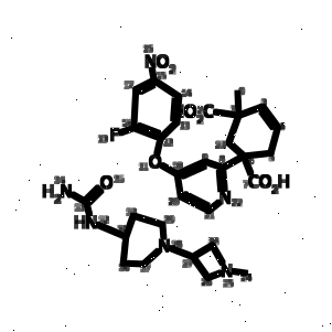 CC1(C(=O)O)C=CCC(C(=O)O)(c2cc(Oc3ccc([N+](=O)[O-])cc3F)ccn2)C1.CN1CC(N2CCC(NC(N)=O)CC2)C1